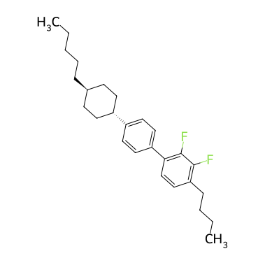 CCCCC[C@H]1CC[C@H](c2ccc(-c3ccc(CCCC)c(F)c3F)cc2)CC1